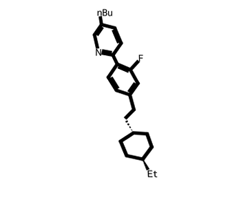 CCCCc1ccc(-c2ccc(CC[C@H]3CC[C@H](CC)CC3)cc2F)nc1